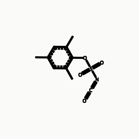 Cc1cc(C)c(OS(=O)(=O)N=C=O)c(C)c1